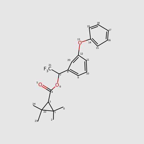 CC1(C)C(C(=O)OC(c2cccc(Oc3ccccc3)c2)C(F)(F)F)C1(C)C